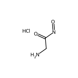 Cl.NCC(=O)N=O